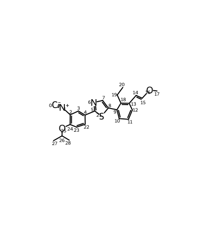 [C-]#[N+]c1cc(-c2ncc(-c3cccc(/C=C/OC)c3CC)s2)ccc1OC(C)C